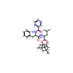 CC(C)CC(NC(=O)C(Cc1ccccc1)NC(=O)c1cnccn1)B1OC2C[C@@H]3C[C@@H](C3(C)C)[C@]2(C)O1